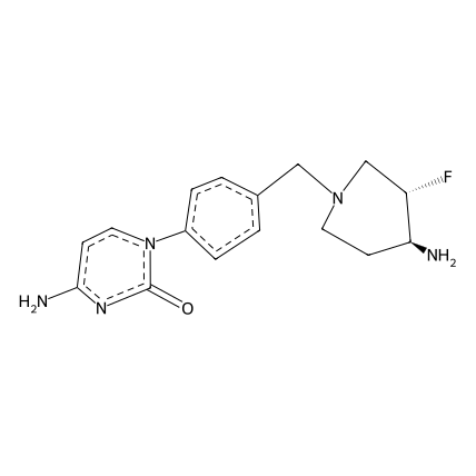 Nc1ccn(-c2ccc(CN3CC[C@H](N)[C@@H](F)C3)cc2)c(=O)n1